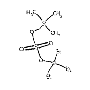 CC[Si](CC)(CC)OS(=O)(=O)O[Si](C)(C)C